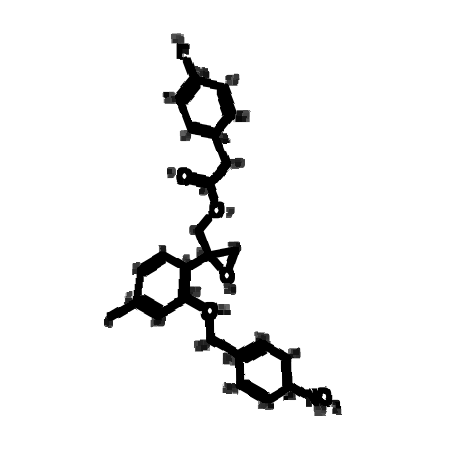 Cc1ccc(C2(COC(=O)Cc3ccc(F)cc3)CO2)c(OCc2ccc([N+](=O)[O-])cc2)c1